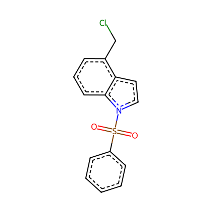 O=S(=O)(c1ccccc1)n1ccc2c(CCl)cccc21